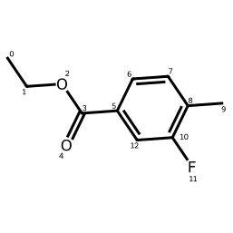 CCOC(=O)c1ccc(C)c(F)c1